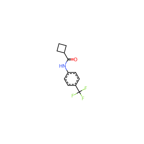 O=C(Nc1ccc(C(F)(F)F)cc1)C1CCC1